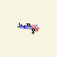 CCc1nc(-c2cn(-c3cc(C(=O)Nc4cc(C(C)(C)C)cc(NS(C)(=O)=O)c4OC)ccc3C)nn2)cn1CC